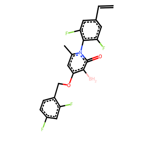 Bc1c(OCc2ccc(F)cc2F)cc(C)n(-c2c(F)cc(C=C)cc2F)c1=O